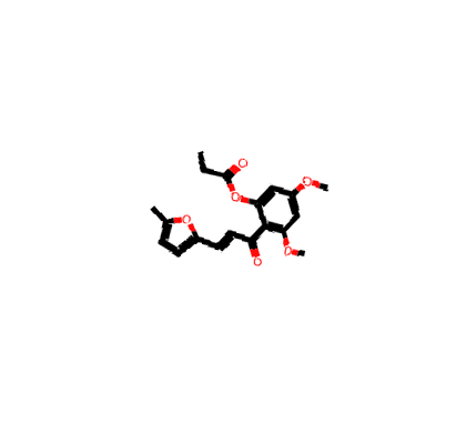 CCC(=O)Oc1cc(OC)cc(OC)c1C(=O)C=Cc1ccc(C)o1